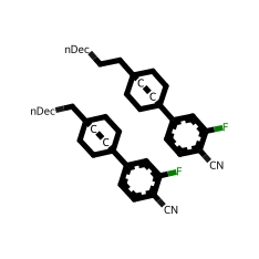 CCCCCCCCCCCC12CCC(c3ccc(C#N)c(F)c3)(CC1)CC2.CCCCCCCCCCCCC12CCC(c3ccc(C#N)c(F)c3)(CC1)CC2